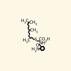 CC(C)=CCC/C(C)=C/CC/C(C)=C/CSCC(NC(=O)c1ccccc1N)C(=O)O